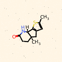 Cc1cc2c(s1)[C@H]1NC(=O)CC[C@@]1(C)C2